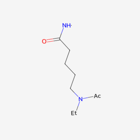 CCN(CCCCC([NH])=O)C(C)=O